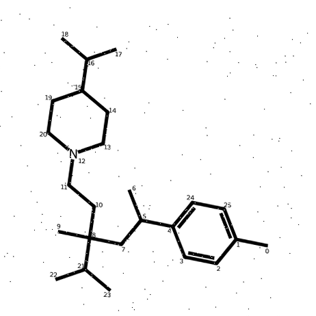 Cc1ccc(C(C)CC(C)(CCN2CCC(C(C)C)CC2)C(C)C)cc1